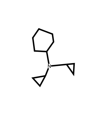 C1CCC(N(C2CC2)C2CC2)CC1